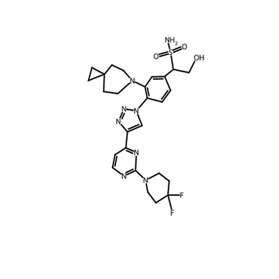 NS(=O)(=O)C(CO)c1ccc(-n2cc(-c3ccnc(N4CCC(F)(F)CC4)n3)nn2)c(N2CCC3(CC2)CC3)c1